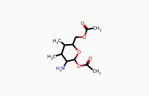 CC(=O)OCC1OC(OC(C)=O)C(N)C(C)C1C